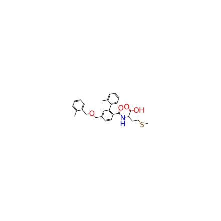 CSCCC(NC(=O)c1ccc(COCc2ccccc2C)cc1-c1ccccc1C)C(=O)O